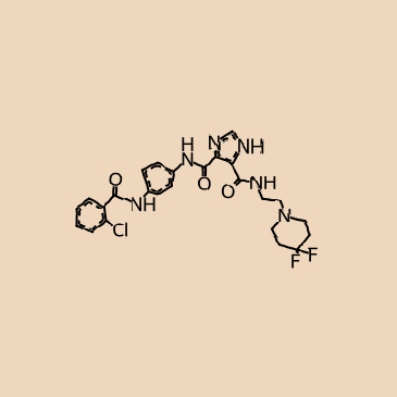 O=C(Nc1ccc(NC(=O)c2nc[nH]c2C(=O)NCCN2CCC(F)(F)CC2)cc1)c1ccccc1Cl